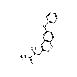 NC(=S)N(O)CC1=Cc2cc(Oc3ccccc3)ccc2OC1